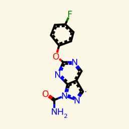 NC(=O)n1n[c]c2cnc(Oc3ccc(F)cc3)nc21